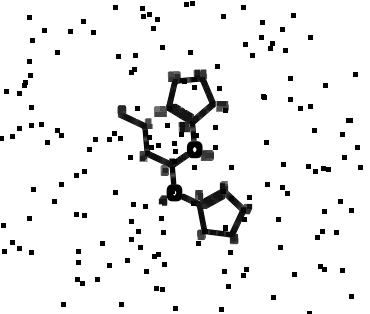 CCC[C](OC1=CCCC1)OC1=CCCC1